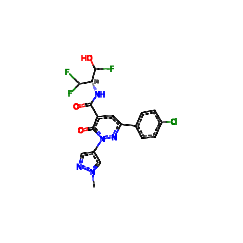 Cn1cc(-n2nc(-c3ccc(Cl)cc3)cc(C(=O)N[C@@H](C(O)F)C(F)F)c2=O)cn1